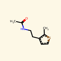 CC(=O)NCCc1ccsc1C